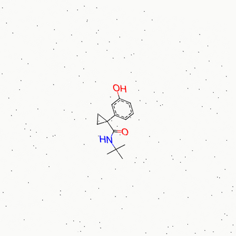 CC(C)(C)NC(=O)C1(c2cccc(O)c2)CC1